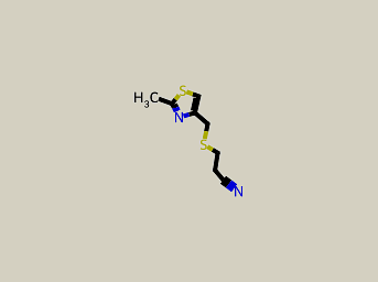 Cc1nc(CSCCC#N)cs1